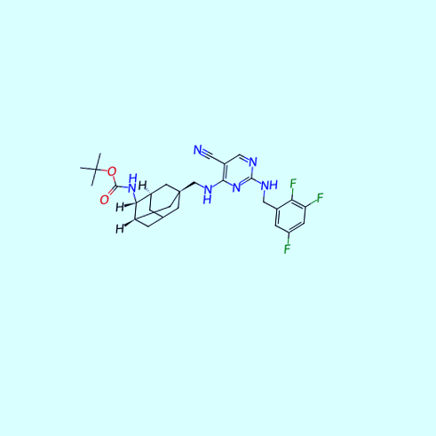 CC(C)(C)OC(=O)N[C@@H]1[C@@H]2CC3C[C@H]1C[C@@](CNc1nc(NCc4cc(F)cc(F)c4F)ncc1C#N)(C3)C2